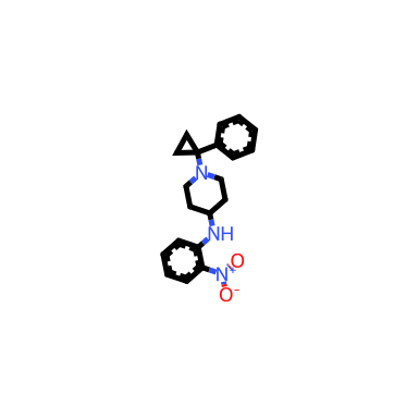 O=[N+]([O-])c1ccccc1NC1CCN(C2(c3ccccc3)CC2)CC1